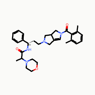 Cc1cccc(C)c1C(=O)N1C=C2CN(CC[C@H](NC(=O)C(C)N3CCOCC3)c3ccccc3)CC2C1